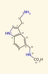 NCCc1c[nH]c2ccc(CNC(=O)O)cc12